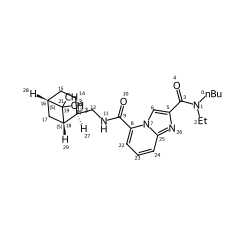 CCCCN(CC)C(=O)c1cn2c(C(=O)NC[C@@H]3CC[C@H]4C[C@@H]3C4(C)C)cccc2n1